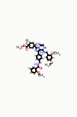 COC(=O)C1(C)CCC(C)(c2nc(-c3ccc(CNC(=O)c4cc(F)ccc4OC)cc3)c3c(NCc4ccc(OC)cc4OC)nccn23)CC1